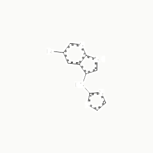 Brc1cnc2[nH]cc(Nc3nccs3)c2c1